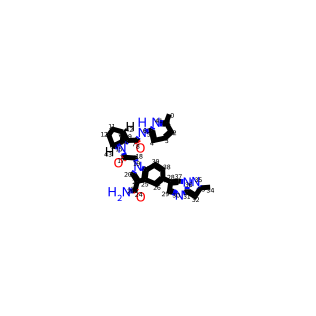 Cc1cccc(NC(=O)C2[C@H]3CC[C@H](C3)N2C(=O)Cn2cc(C(N)=O)c3cc(-c4cnc5cc(C)nn5c4)ccc32)n1